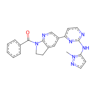 Cn1nccc1Nc1nccc(-c2cnc3c(c2)CCN3C(=O)c2ccccc2)n1